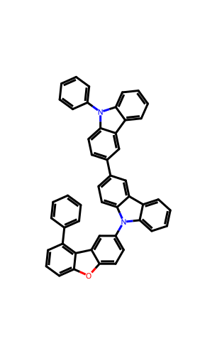 c1ccc(-c2cccc3oc4ccc(-n5c6ccccc6c6cc(-c7ccc8c(c7)c7ccccc7n8-c7ccccc7)ccc65)cc4c23)cc1